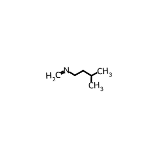 C=NCCC(C)C